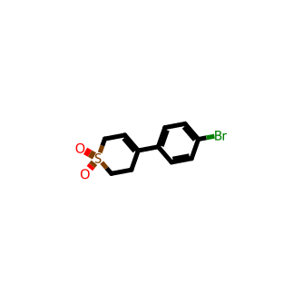 O=S1(=O)CC=C(c2ccc(Br)cc2)CC1